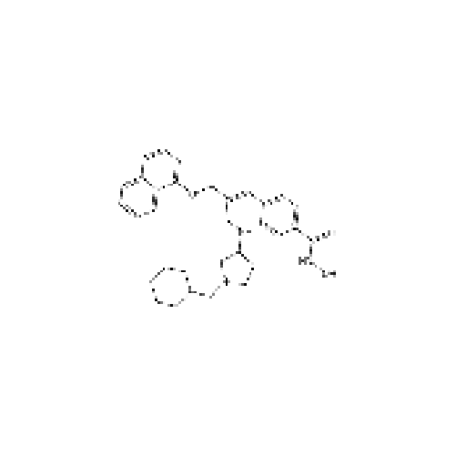 O=C(NO)c1ccc(C=C(CNC2CCN(CC3CCCCC3)C2)COc2cccc3ccccc23)cc1